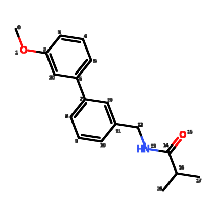 COc1cccc(-c2cccc(CNC(=O)C(C)C)c2)c1